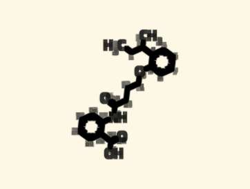 CCC(C)c1ccccc1OCCCC(=O)Nc1ccccc1C(=O)O